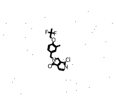 Cc1cc(CN2Cc3c(ccnc3Cl)C2=O)ccc1OCC(C)(F)F